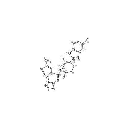 Cc1ccc(-n2nccn2)c(C(=O)N2C[C@@H]3C[C@H]2CCN3c2nc3cc(Cl)ccc3o2)c1